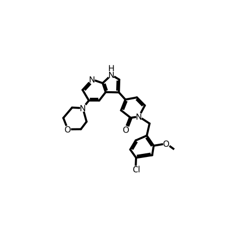 COc1cc(Cl)ccc1Cn1ccc(-c2c[nH]c3ncc(N4CCOCC4)cc23)cc1=O